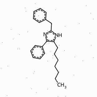 CCCCCCCc1[nH]c(Cc2ccccc2)nc1-c1ccccc1